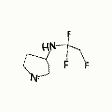 FCC(F)(F)NC1CC[N]C1